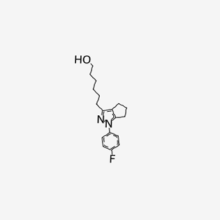 OCCCCCCc1nn(-c2ccc(F)cc2)c2c1CCC2